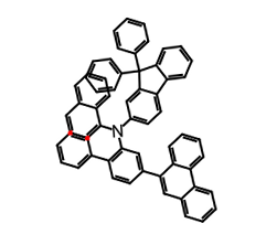 c1ccc(-c2ccc(-c3cc4ccccc4c4ccccc34)cc2N(c2ccc3c(c2)C(c2ccccc2)(c2ccccc2)c2ccccc2-3)c2cccc3ccccc23)cc1